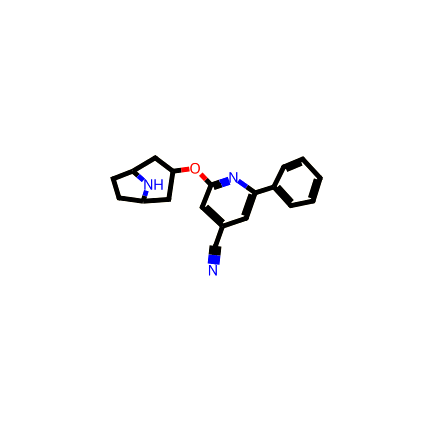 N#Cc1cc(OC2CC3CCC(C2)N3)nc(-c2ccccc2)c1